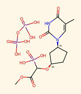 COC(=O)C(O[C@@H]1CC[C@H](n2cc(C)c(=O)[nH]c2=O)C1)P(=O)(O)O.O=P(O)(O)OP(=O)(O)O